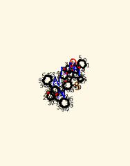 c1ccc2c(c1)Oc1ccccc1N2c1cccc2c1C1(c3ccc(-n4c5ccccc5c5ccccc54)cc3S2)c2cccnc2-c2ncc(-n3c4ccccc4c4ccccc43)cc21